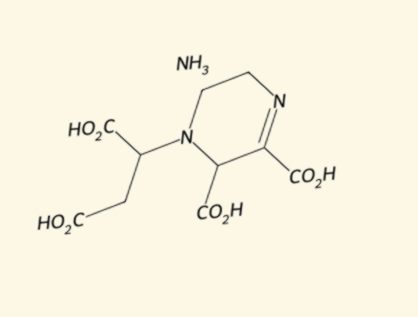 N.O=C(O)CC(C(=O)O)N1CCN=C(C(=O)O)C1C(=O)O